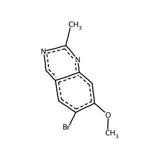 COc1cc2nc(C)ncc2cc1Br